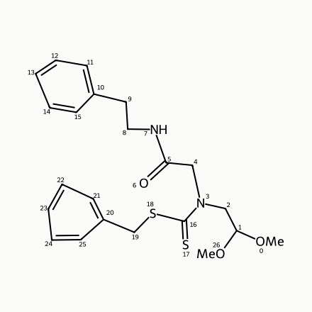 COC(CN(CC(=O)NCCc1ccccc1)C(=S)SCc1ccccc1)OC